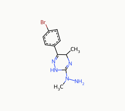 CC1N=C(N(C)N)NN=C1c1ccc(Br)cc1